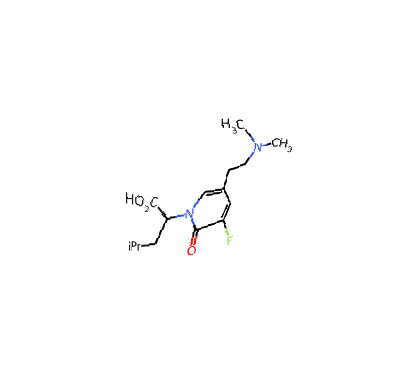 CC(C)CC(C(=O)O)n1cc(CCN(C)C)cc(F)c1=O